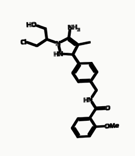 COc1ccccc1C(=O)NCc1ccc(C2NN(C(CO)CCl)C(N)=C2C)cc1